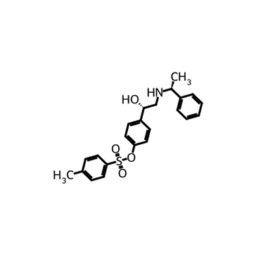 Cc1ccc(S(=O)(=O)Oc2ccc([C@H](O)CN[C@@H](C)c3ccccc3)cc2)cc1